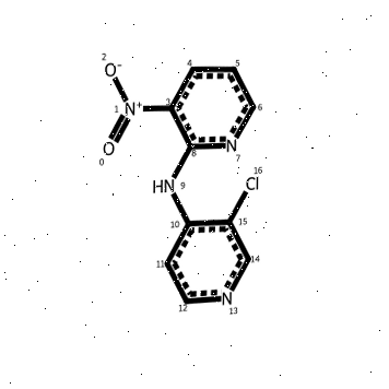 O=[N+]([O-])c1cccnc1Nc1ccncc1Cl